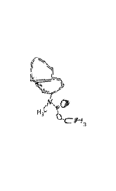 COC(=O)N(C)c1ccc2ccccc2c1